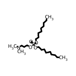 CCCCCCCCCOP(=O)(OCCCCCCCCC)OCCCN(C)C